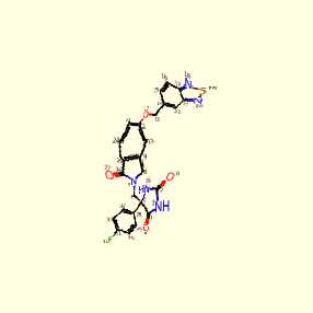 O=C1NC(=O)[C@](CN2Cc3cc(OCc4ccc5nsnc5c4)ccc3C2=O)(c2ccc(F)cc2)N1